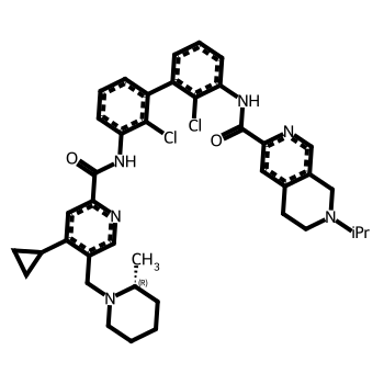 CC(C)N1CCc2cc(C(=O)Nc3cccc(-c4cccc(NC(=O)c5cc(C6CC6)c(CN6CCCC[C@H]6C)cn5)c4Cl)c3Cl)ncc2C1